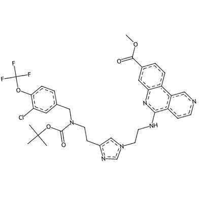 COC(=O)c1ccc2c(c1)nc(NCCn1cnc(CCN(Cc3ccc(OC(F)(F)F)c(Cl)c3)C(=O)OC(C)(C)C)c1)c1ccncc12